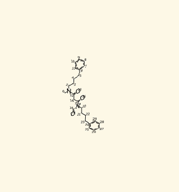 CN(CCCCc1ccccc1)C(=O)CC(=O)N(C=O)CCCCc1ccccc1